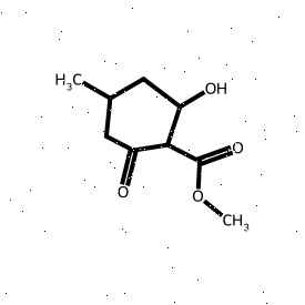 COC(=O)C1C(=O)CC(C)CC1O